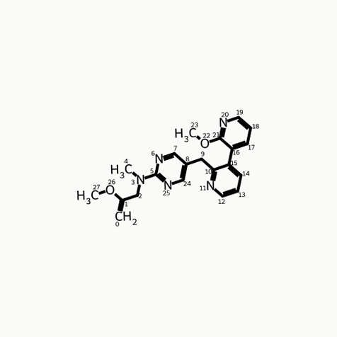 C=C(CN(C)c1ncc(Cc2ncccc2-c2cccnc2OC)cn1)OC